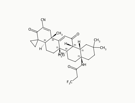 CC1(C)CC[C@]2(NC(=O)CC(F)(F)F)CC[C@]3(C)[C@H](C(=O)C=C4[C@@]5(C)C=C(C#N)C(=O)C6(CC6)[C@@H]5CC[C@]43C)[C@@H]2C1